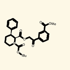 COC(=O)c1cccc(C(=O)COC(=O)[C@@H]2[C@H](c3ccccc3)CCCN2C(=O)OC(C)(C)C)c1